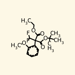 CCOC(=O)C(C(=O)OC(C)(C)C)(c1ccccc1OC)C(F)F